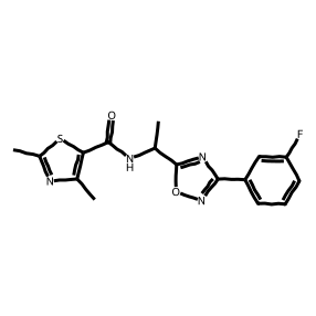 Cc1nc(C)c(C(=O)NC(C)c2nc(-c3cccc(F)c3)no2)s1